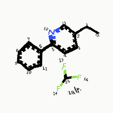 CCc1ccc(-c2ccccc2)nc1.FC(F)F.[Ir]